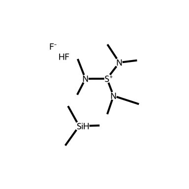 CN(C)[S+](N(C)C)N(C)C.C[SiH](C)C.F.[F-]